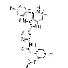 CC1(C)Cc2[nH]c(-c3ccnc(NC(=O)[C@@H](CC(F)F)c4ccc(F)cc4)c3)c(Nc3cccc(F)c3)c2C(=O)N1